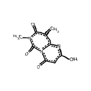 C=c1c(=O)n(C)c(=O)n2c(=O)cc(O)nc12